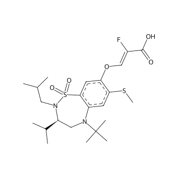 CSc1cc2c(cc1O/C=C(\F)C(=O)O)S(=O)(=O)N(CC(C)C)[C@H](C(C)C)CN2C(C)(C)C